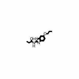 CCCOc1ccc2nc(NC(=O)CC)[nH]c2c1